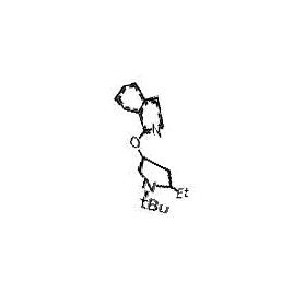 CCC1CC(Oc2nccc3ccccc23)CN1C(C)(C)C